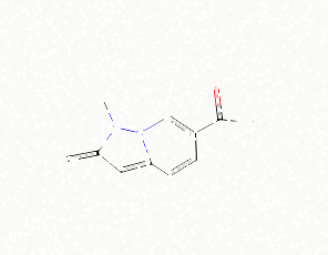 C=C1C=C2C=CC(C(=O)OC)=CN2N1C